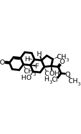 COC(Cl)C(=O)[C@@]1(O)[C@@H](C)C[C@H]2[C@@H]3CCC4=CC(=O)CC[C@]4(C)[C@@]3(F)[C@@H](O)C[C@@]21C